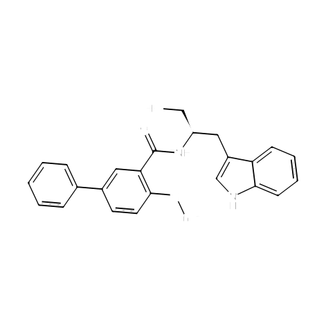 CCCOc1ccc(-c2ccccc2)cc1C(=O)N[C@@H](CO)Cc1c[nH]c2ccccc12